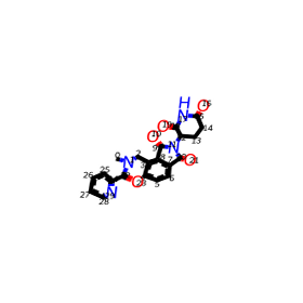 CN(Cc1cccc2c1C(=O)N(C1CCC(=O)NC1=O)C2=O)C(=O)c1ccccn1